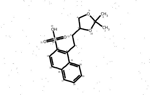 CC1(C)OCC(CCc2c(S(=O)(=O)O)ccc3ccccc23)O1